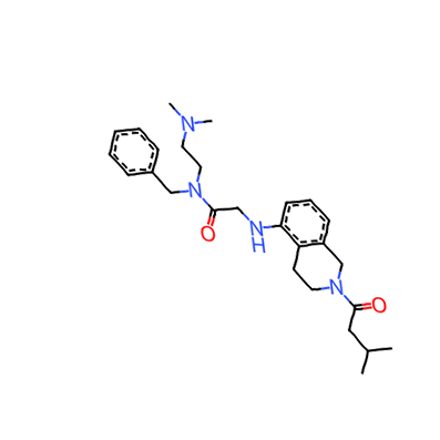 CC(C)CC(=O)N1CCc2c(cccc2NCC(=O)N(CCN(C)C)Cc2ccccc2)C1